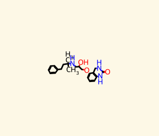 CC(C)(CCc1ccccc1)NCC(O)COc1cccc2c1CNC(=O)N2